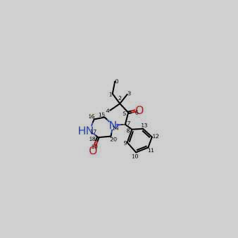 CCC(C)(C)C(=O)[C@@H](c1ccccc1)N1CCNC(=O)C1